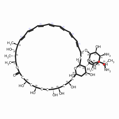 C[C@@H]1[C@H](O)[C@@H](C)/C=C/C=C/C=C/C=C/C=C/C=C/C=C/[C@H](O[C@@H]2O[C@H](C)[C@@H](O)[C@H](N)[C@@H]2O)C[C@@H]2O[C@](O)(C[C@@H](O)C[C@@H](O)[C@H](O)CC[C@@H](O)C[C@@H](O)CC(=O)O[C@H]1C)C[C@H](O)[C@H]2C(=O)NC[C@H](C)N